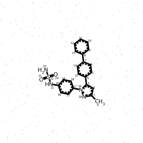 Cc1cc(-c2ccc(-c3ccccc3)cc2)n(-c2ccc(NS(N)(=O)=O)cc2)n1